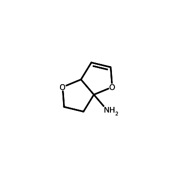 NC12CCOC1C=CO2